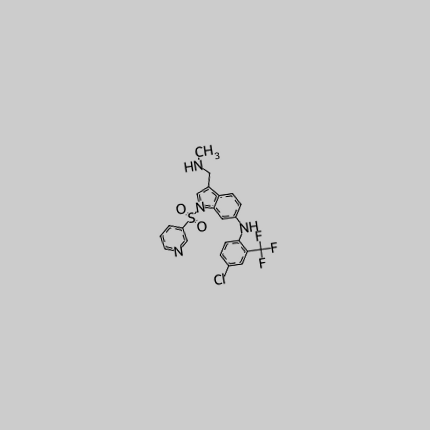 CNCc1cn(S(=O)(=O)c2cccnc2)c2cc(Nc3ccc(Cl)cc3C(F)(F)F)ccc12